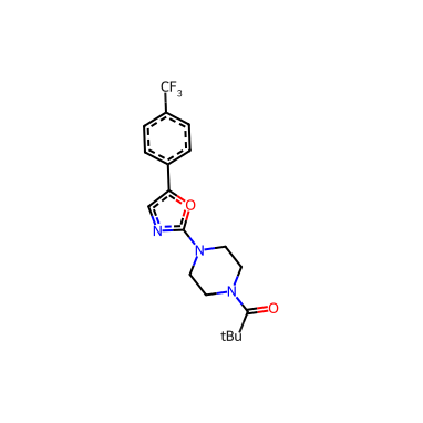 CC(C)(C)C(=O)N1CCN(c2ncc(-c3ccc(C(F)(F)F)cc3)o2)CC1